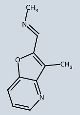 CN=Cc1oc2cccnc2c1C